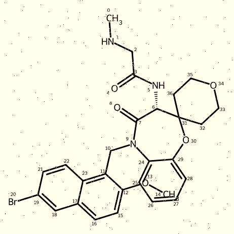 CNCC(=O)N[C@H]1C(=O)N(Cc2c(OC)ccc3cc(Br)ccc23)c2ccccc2OC12CCOCC2